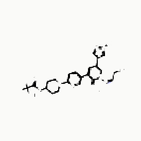 C=C1C(c2ccc(N3CCC(NC(=O)C(C)(C)O)CC3)nc2)=CC(c2cnn(C)c2)=CN1/N=C\CC#N